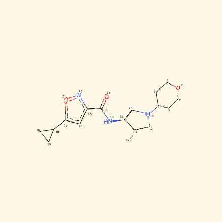 C[C@H]1CN(C2CCOCC2)C[C@@H]1NC(=O)c1cc(C2CC2)on1